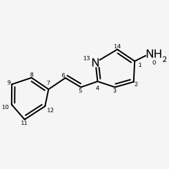 Nc1ccc(C=Cc2ccccc2)nc1